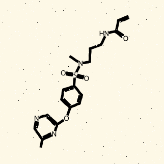 C=CC(=O)NCCCN(C)S(=O)(=O)c1ccc(Oc2cncc(C)n2)cc1